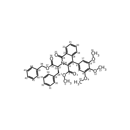 COC(=O)c1c(-c2cc(OC)c(OC)c(OC)c2)c2ccccc2c(=O)n1[C@@H](Cc1ccccc1)C(=O)OCc1ccccc1